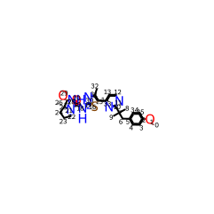 COc1ccc(CC(C)(C)c2nccc(-c3sc(NC(=O)N4CCC[C@@]4(C)C(N)=O)nc3C)n2)cc1